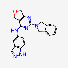 c1ccc2c(c1)CN(c1nc3c(c(Nc4ccc5[nH]ncc5c4)n1)COC3)C2